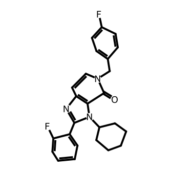 O=c1c2c(ccn1Cc1ccc(F)cc1)nc(-c1ccccc1F)n2C1CCCCC1